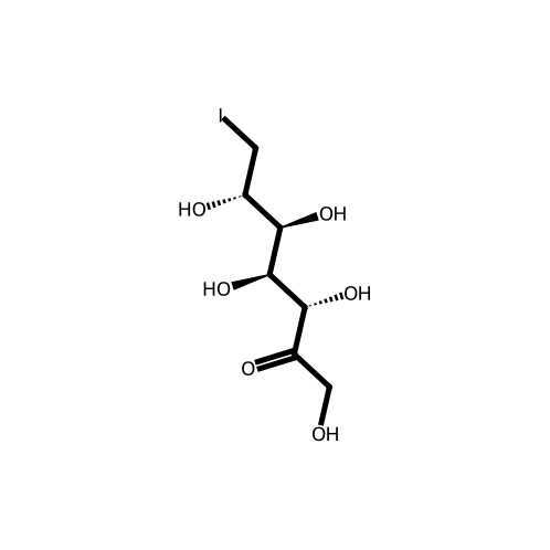 O=C(CO)[C@@H](O)[C@@H](O)[C@H](O)[C@H](O)CI